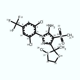 CC1(c2nn(-c3c(Cl)cc(C(F)(F)F)cc3Cl)c(N)c2S(C)(=O)=O)SCC[S+]1[O-]